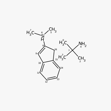 CC(C)(C)N.C[SiH](C)C1=Cc2ccccc2C1